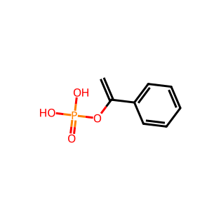 C=C(OP(=O)(O)O)c1ccccc1